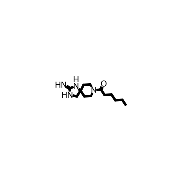 CCCCCC(=O)N1CCC2(CC1)CNC(=N)N2